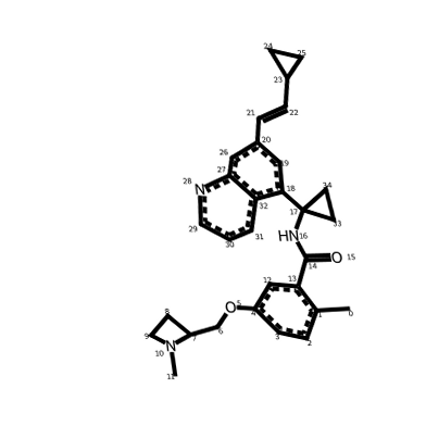 Cc1ccc(OCC2CCN2C)cc1C(=O)NC1(c2cc(C=CC3CC3)cc3ncccc23)CC1